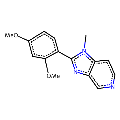 COc1ccc(-c2nc3cnccc3n2C)c(OC)c1